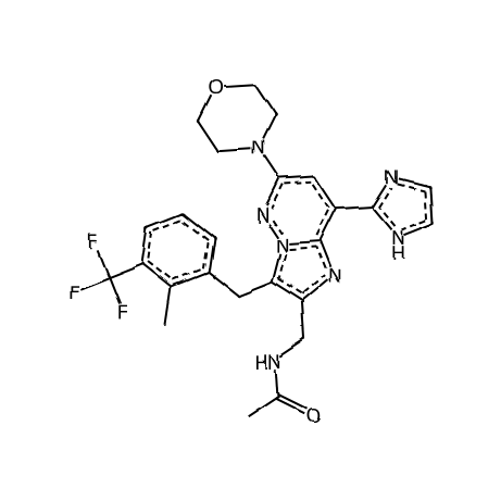 CC(=O)NCc1nc2c(-c3ncc[nH]3)cc(N3CCOCC3)nn2c1Cc1cccc(C(F)(F)F)c1C